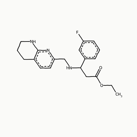 CCOC(=O)CC(NCc1ccc2c(n1)NCCC2)c1cccc(F)c1